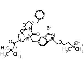 CC(C)(C)OC(=O)N1CC[C@H]([C@H](Cc2ccc3c(c2)c(Br)nn3COCC[Si](C)(C)C)C(=O)N2C(=O)OC[C@@H]2Cc2ccccc2)C1